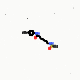 CCCCc1ccc(NC(=O)CCCCCCN[S+]([O-])C(C)(C)C)cc1